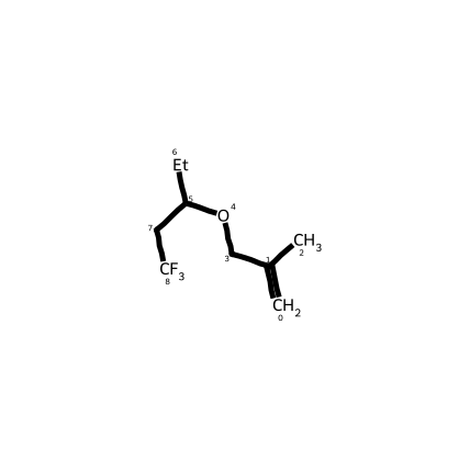 C=C(C)COC(CC)CC(F)(F)F